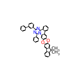 CC1(C)c2ccccc2-c2cc3c(cc21)Oc1cc(-c2ccccc2-c2nc(-c4ccccc4)nc(-c4cccc(-c5ccccc5)c4)n2)ccc1O3